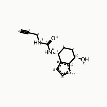 C#CCNC(=O)N[C@@H]1CC[C@H](O)c2sccc21